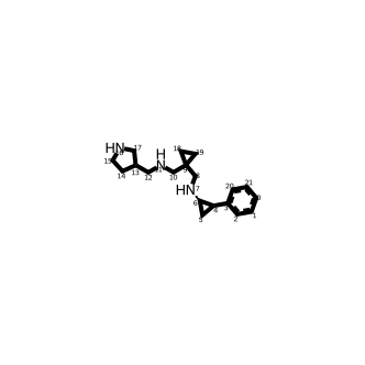 c1ccc(C2C[C@@H]2NCC2(CNCC3CCNC3)CC2)cc1